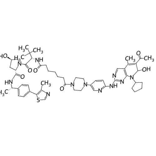 CC(=O)C1=C(C)c2cnc(Nc3ccc(N4CCN(C(=O)CCCCCC(=O)N[C@H](C(=O)N5C[C@H](O)C[C@H]5C(=O)N[C@@H](C)c5ccc(-c6scnc6C)cc5)C(C)(C)C)CC4)cn3)nc2N(C2CCCC2)C1O